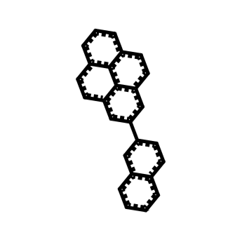 [c]1ccc2cc(-c3cc4ccc5cccc6ccc(c3)c4c56)ccc2c1